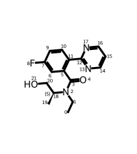 CCN(C(=O)c1cc(F)ccc1-c1ncccn1)[C@@H](C)CO